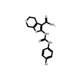 CC(=O)c1ccc(NC(=O)Nc2sc3c(c2C(N)=O)CCSC3)cc1